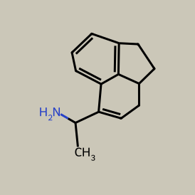 CC(N)C1=CCC2CCc3cccc1c32